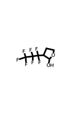 OC1OCCC1C(F)(F)C(F)(F)C(F)(F)F